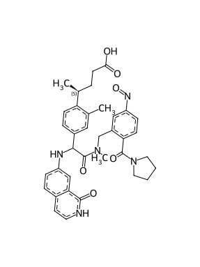 Cc1cc(C(Nc2ccc3cc[nH]c(=O)c3c2)C(=O)N(C)Cc2cc(N=O)ccc2C(=O)N2CCCC2)ccc1[C@@H](C)CCC(=O)O